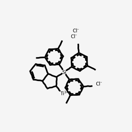 Cc1cc(C)cc([Si](c2cc(C)cc(C)c2)(c2cc(C)cc(C)c2)C2[CH]([Ti+3])CC3C=CC=CC32)c1.[Cl-].[Cl-].[Cl-]